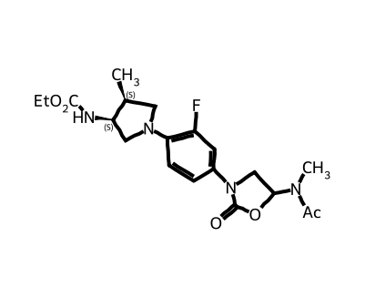 CCOC(=O)N[C@@H]1CN(c2ccc(N3CC(N(C)C(C)=O)OC3=O)cc2F)C[C@@H]1C